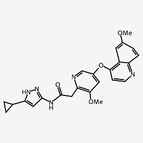 COc1ccc2nccc(Oc3cnc(CC(=O)Nc4cc(C5CC5)[nH]n4)c(OC)c3)c2c1